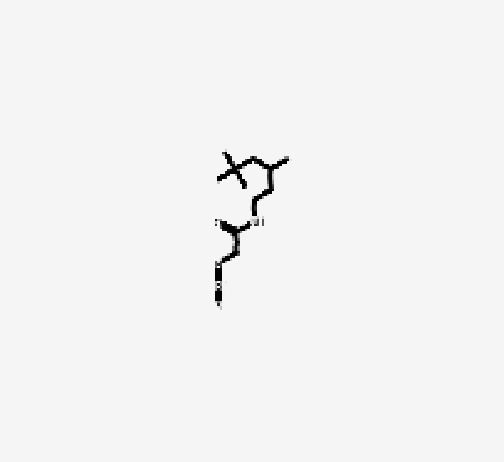 CC(CCNC(=O)CN=[N+]=[N-])CC(C)(C)C